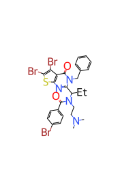 CCC(c1nc2sc(Br)c(Br)c2c(=O)n1Cc1ccccc1)N(CCN(C)C)C(=O)c1ccc(Br)cc1